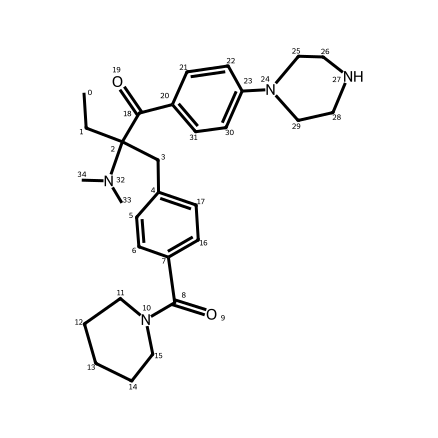 CCC(Cc1ccc(C(=O)N2CCCCC2)cc1)(C(=O)c1ccc(N2CCNCC2)cc1)N(C)C